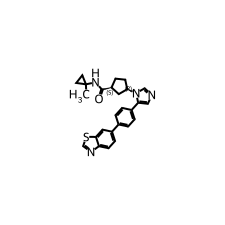 CC1(NC(=O)[C@H]2CC[C@@H](n3cncc3-c3ccc(-c4ccc5ncsc5c4)cc3)C2)CC1